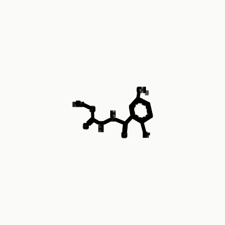 CCCCOC(=O)NNC(=O)c1cc(C)ccc1Br